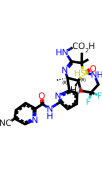 CC1(C)C(NC(=O)O)=N[C@](C)(c2nc(NC(=O)c3ccc(C#N)cn3)ccc2F)[C@H]2CC(F)(F)CN[SH]21=O